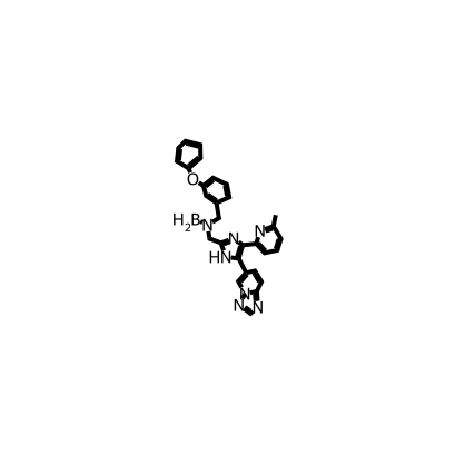 BN(Cc1cccc(Oc2ccccc2)c1)Cc1nc(-c2cccc(C)n2)c(-c2ccc3ncnn3c2)[nH]1